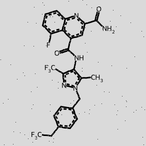 Cc1c(NC(=O)c2cc(C(N)=O)nc3cccc(F)c23)c(C(F)(F)F)nn1Cc1ccc(CC(F)(F)F)cc1